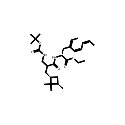 C\C=C/C=C\C(=C/C)C[C@H](NC(=O)C(CNC(=O)OC(C)(C)C)C[C@H]1C[C@@H](C)C1(C)C)C(=O)OCC